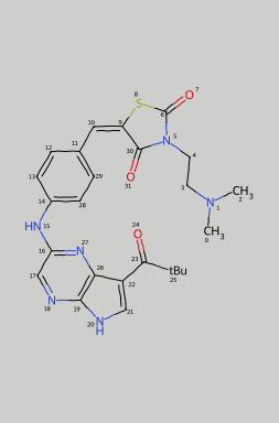 CN(C)CCN1C(=O)SC(=Cc2ccc(Nc3cnc4[nH]cc(C(=O)C(C)(C)C)c4n3)cc2)C1=O